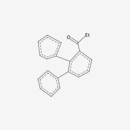 CCC(=O)c1cccc(-c2ccccc2)c1-c1ccccc1